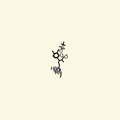 CCN/C=C(/CCC(c1ccc(C)c(CO[Si](C)(C)C(C)(C)C)c1)C(C)C(=O)OC)NN